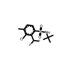 Cc1ccc(S(=O)(=O)NC(C)(C)C)c(C(F)F)c1Cl